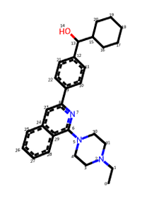 CCN1CCN(c2nc(-c3ccc(C(O)C4CCCCC4)cc3)cc3ccccc23)CC1